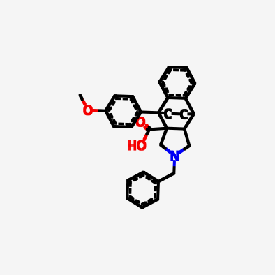 COc1ccc(C23CCC(c4ccccc42)C2CN(Cc4ccccc4)CC23C(=O)O)cc1